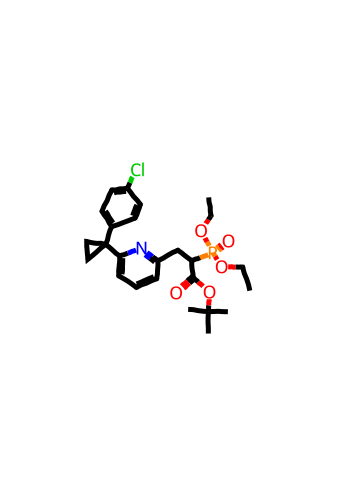 CCOP(=O)(OCC)C(Cc1cccc(C2(c3ccc(Cl)cc3)CC2)n1)C(=O)OC(C)(C)C